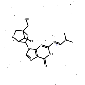 CN(C)/C=N/c1nc2c(ncn2C2OC3(CO)COC2C3O)c(=O)[nH]1